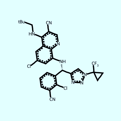 CC(C)(C)CNc1c(C#N)cnc2c(N[C@H](c3cn(C4(C(F)(F)F)CC4)nn3)c3cccc(C#N)c3Cl)cc(Cl)cc12